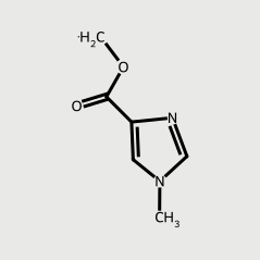 [CH2]OC(=O)c1cn(C)cn1